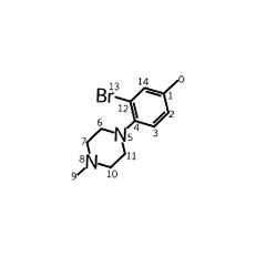 Cc1ccc(N2CCN(C)CC2)c(Br)c1